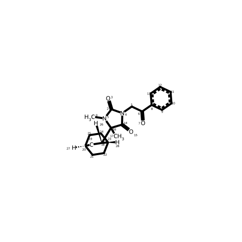 CN1C(=O)N(CC(=O)c2ccccc2)C(=O)C1(C)[C@H]1C[C@H]2CC[C@H]1CC2